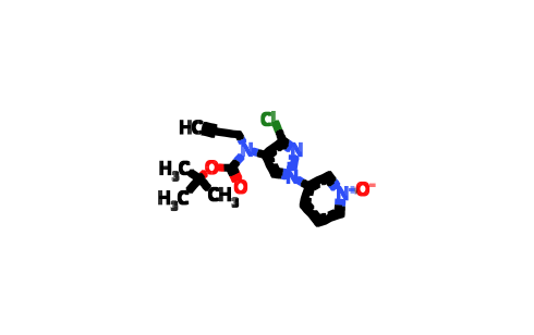 C#CCN(C(=O)OC(C)(C)C)c1cn(-c2ccc[n+]([O-])c2)nc1Cl